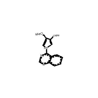 COC1=C[SH](c2ncnc3ccccc23)C=C1OC